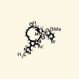 COCc1ccc(Br)nc1NC(=O)[C@@H]1C[C@]23CNC(=O)CCC/C=C/Cc4cc(-c5cnc(C)nc5)cc5c(C(C)=O)nn(c45)CC(=O)N1[C@@H]2C3